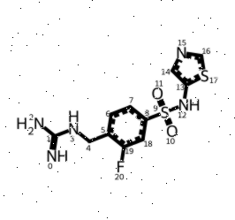 N=C(N)NCc1ccc(S(=O)(=O)Nc2cncs2)cc1F